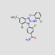 NC(=O)c1ccc(-n2c(Nc3c(Cl)cccc3Cl)nc3cc(C(=O)O)cc(Br)c32)c(Cl)c1